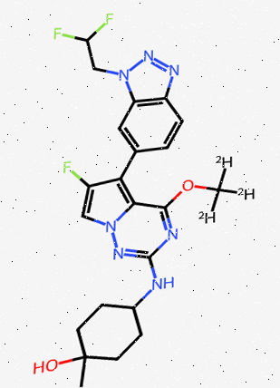 [2H]C([2H])([2H])Oc1nc(NC2CCC(C)(O)CC2)nn2cc(F)c(-c3ccc4nnn(CC(F)F)c4c3)c12